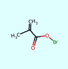 C=C(C)C(=O)OBr